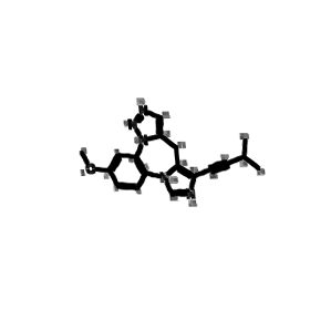 COc1ccc2c(c1)-n1nncc1Cc1c(C#CC(C)C)ncn1-2